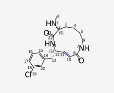 CN[C@H]1CCCCNC(=O)/C=C/[C@H](Cc2cccc(Cl)c2)NC1=O